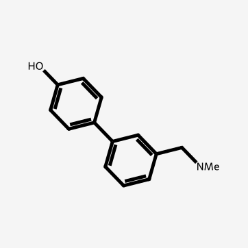 CNCc1cccc(-c2ccc(O)cc2)c1